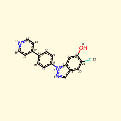 Oc1cc2c(cnn2-c2ccc(-c3ccncc3)cc2)cc1F